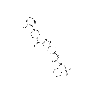 O=C(C1=NOC2(CCN(OC(=S)Nc3ccccc3C(F)(F)F)CC2)C1)N1CCN(c2ncccc2Cl)CC1